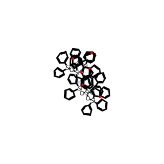 C(=C\C[Si](O[Si](c1ccccc1)(c1ccccc1)c1ccccc1)(O[Si](c1ccccc1)(c1ccccc1)c1ccccc1)O[Si](c1ccccc1)(c1ccccc1)c1ccccc1)/C[Si](O[Si](c1ccccc1)(c1ccccc1)c1ccccc1)(O[Si](c1ccccc1)(c1ccccc1)c1ccccc1)O[Si](c1ccccc1)(c1ccccc1)c1ccccc1